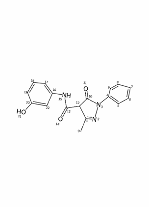 CC1=NN(c2ccccc2)C(=O)C1C(=O)Nc1cccc(O)c1